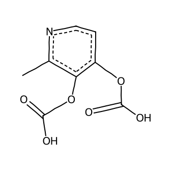 Cc1nccc(OC(=O)O)c1OC(=O)O